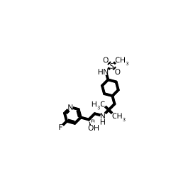 CC(C)(CC1CCC(NS(C)(=O)=O)CC1)NC[C@H](O)c1cncc(F)c1